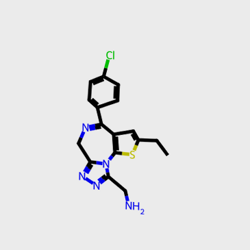 CCc1cc2c(s1)-n1c(CN)nnc1CN=C2c1ccc(Cl)cc1